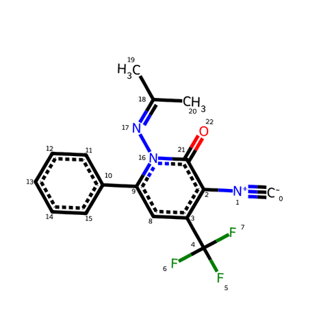 [C-]#[N+]c1c(C(F)(F)F)cc(-c2ccccc2)n(N=C(C)C)c1=O